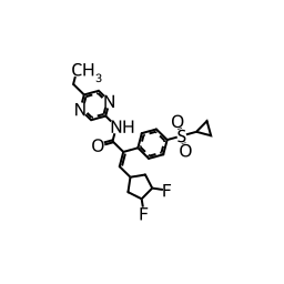 CCc1cnc(NC(=O)/C(=C/C2CC(F)C(F)C2)c2ccc(S(=O)(=O)C3CC3)cc2)cn1